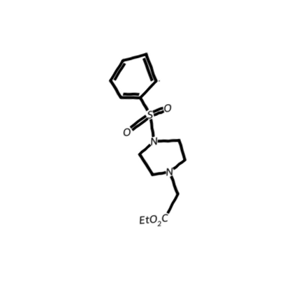 CCOC(=O)CN1CCN(S(=O)(=O)c2[c]cccc2)CC1